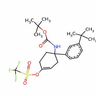 CC(C)(C)OC(=O)NC1(c2cccc(C(C)(C)C)c2)CC=C(OS(=O)(=O)C(F)(F)F)CC1